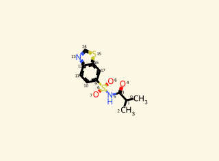 CC(C)C(=O)NS(=O)(=O)c1ccc2ncsc2c1